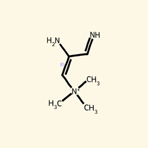 C[N+](C)(C)/C=C(/N)C=N